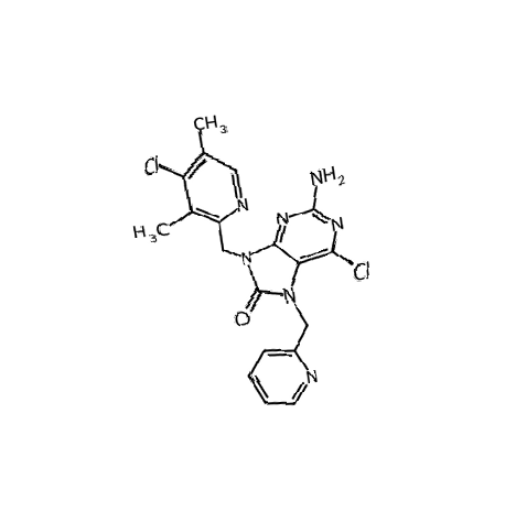 Cc1cnc(Cn2c(=O)n(Cc3ccccn3)c3c(Cl)nc(N)nc32)c(C)c1Cl